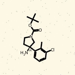 Cc1c(Cl)cccc1[C@]1(N)CCN(C(=O)OC(C)(C)C)C1